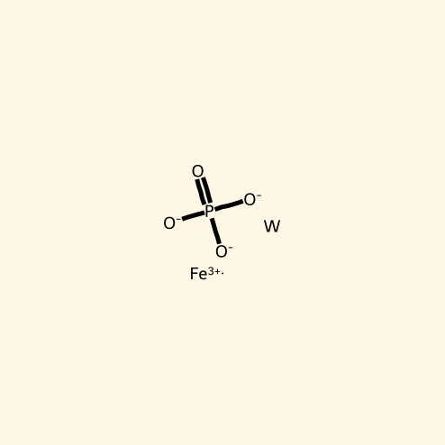 O=P([O-])([O-])[O-].[Fe+3].[W]